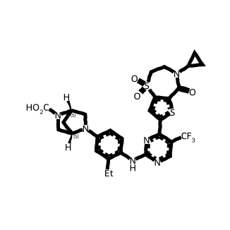 CCc1cc(N2C[C@@H]3C[C@H]2CN3C(=O)O)ccc1Nc1ncc(C(F)(F)F)c(-c2cc3c(s2)C(=O)N(C2CC2)CCS3(=O)=O)n1